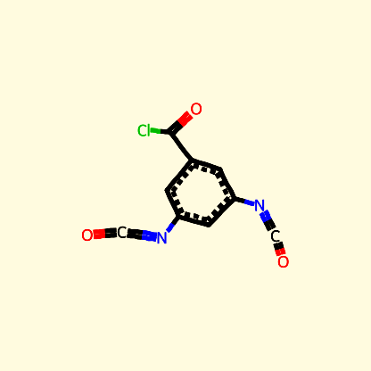 O=C=Nc1cc(N=C=O)cc(C(=O)Cl)c1